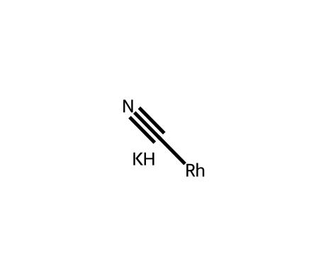 N#[C][Rh].[KH]